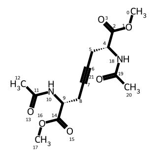 COC(=O)[C@@H](CC#CC[C@@H](NC(C)=O)C(=O)OC)NC(C)=O